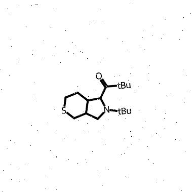 CC(C)(C)C(=O)C1C2CCSCC2CN1C(C)(C)C